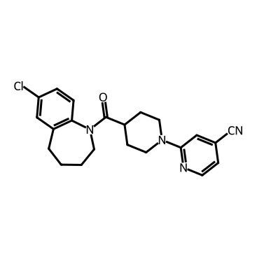 N#Cc1ccnc(N2CCC(C(=O)N3CCCCc4cc(Cl)ccc43)CC2)c1